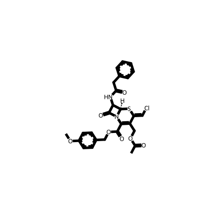 COc1ccc(COC(=O)C2=C(COC(C)=O)/C(=C/Cl)S[C@@H]3C(NC(=O)Cc4ccccc4)C(=O)N23)cc1